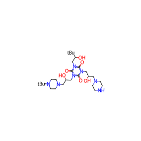 CC(C)(C)C(O)Cn1c(=O)n(CC(O)CN2CCNCC2)c(=O)n(CC(O)CN2CCN(C(C)(C)C)CC2)c1=O